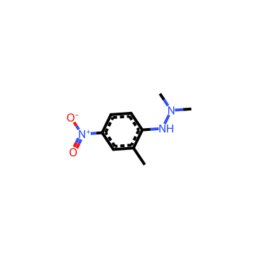 Cc1cc([N+](=O)[O-])ccc1NN(C)C